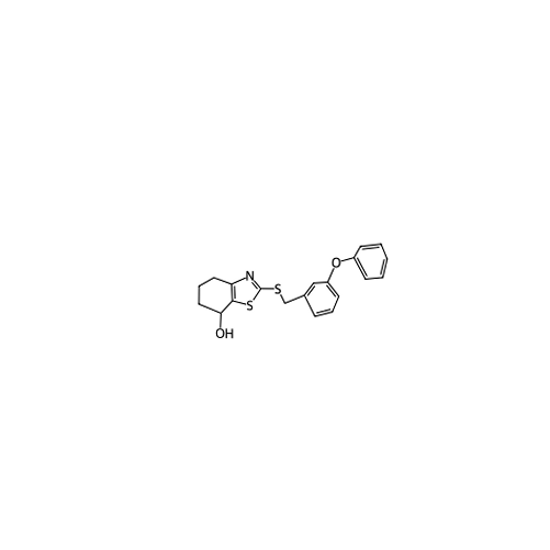 OC1CCCc2nc(SCc3cccc(Oc4ccccc4)c3)sc21